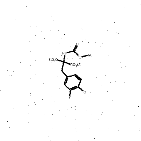 CCOC(=O)C(Cc1ccc(Cl)c(I)c1)(NC(=O)OC(C)(C)C)C(=O)OCC